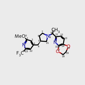 COc1cc(C[C@H]2CCN(C(C)c3ccc4c(n3)OCCO4)C2)cc(C(F)(F)F)n1